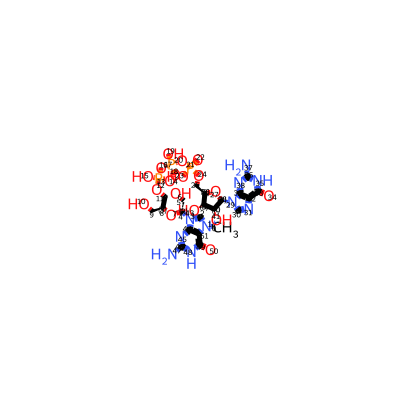 C[n+]1cn([C@@H](CO)O[C@@H](CO)COP(=O)(O)OP(=O)(O)OP(=O)(O)OC[C@H]2O[C@@H](n3cnc4c(=O)[nH]c(N)nc43)[C@H](O)[C@@H]2O)c2nc(N)[nH]c(=O)c21